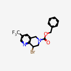 O=C(OCc1ccccc1)N1Cc2cc(C(F)(F)F)cnc2C(Br)C1